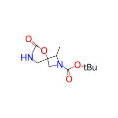 CC1N(C(=O)OC(C)(C)C)CC12CNC(=O)O2